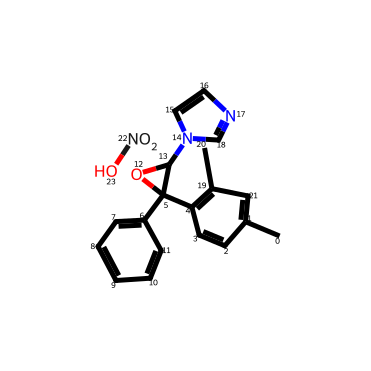 Cc1ccc(C2(c3ccccc3)OC2n2ccnc2)c(C)c1.O=[N+]([O-])O